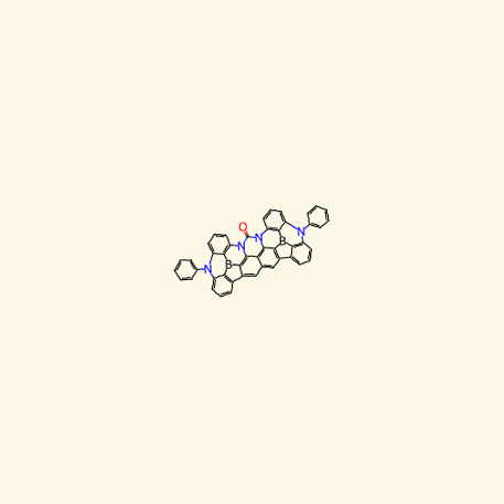 O=C1N2c3cccc4c3B3c5c(cccc5N4c4ccccc4)-c4cc5cc6c7c(c5c2c43)N1c1cccc2c1B7c1c-6cccc1N2c1ccccc1